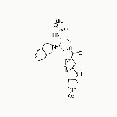 CC(=O)N1CCC(Nc2cc(C(=O)N3CC[C@@H](NC(=O)OC(C)(C)C)[C@H](N4CCc5ccccc5C4)C3)ncn2)CC1